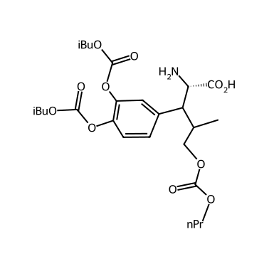 CCCOC(=O)OCC(C)C(c1ccc(OC(=O)OCC(C)C)c(OC(=O)OCC(C)C)c1)[C@H](N)C(=O)O